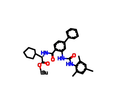 Cc1cc(C)c(NC(=O)Nc2cc(-c3ccccc3)ccc2C(=O)N[C@H](C(=O)OC(C)(C)C)C2CCCCC2)c(C)c1